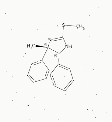 CSC1=N[C@@](C)(c2ccccc2)[C@@H](c2ccccc2)N1